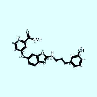 CNC(=O)c1cc(Oc2ccc3nc(NCCCc4cccc(O)c4)oc3c2)ccn1